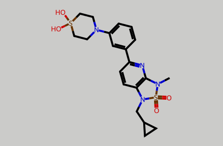 CN1c2nc(-c3cccc(N4CCS(O)(O)CC4)c3)ccc2N(CC2CC2)S1(=O)=O